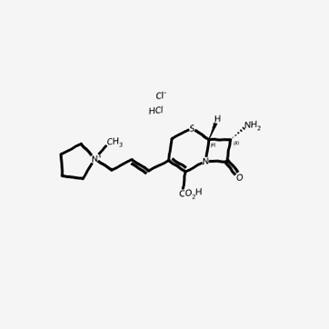 C[N+]1(CC=CC2=C(C(=O)O)N3C(=O)[C@@H](N)[C@H]3SC2)CCCC1.Cl.[Cl-]